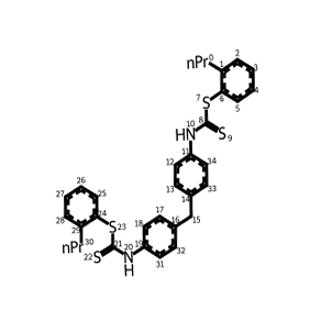 CCCc1ccccc1SC(=S)Nc1ccc(Cc2ccc(NC(=S)Sc3ccccc3CCC)cc2)cc1